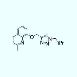 Cc1ccc2cccc(OCc3cn(CC(C)C)nn3)c2n1